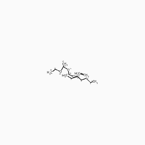 C=C.CCCCCCC.CCOC(C)OCC